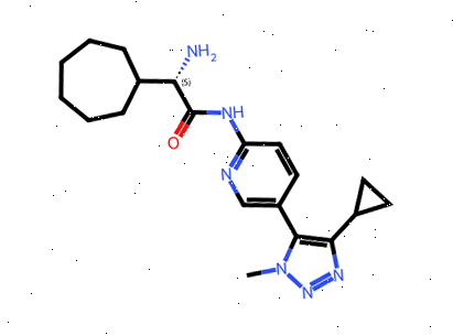 Cn1nnc(C2CC2)c1-c1ccc(NC(=O)[C@@H](N)C2CCCCCC2)nc1